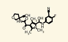 C#CC1(NC(=O)C(=O)c2c(C)c(C(O)Nc3ccc(F)c(C#N)c3)n(C)c2C)CCOC1